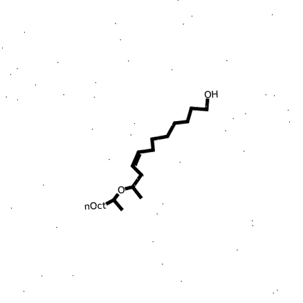 CCCCCCCCC(C)OC(C)C/C=C\CCCCCCCO